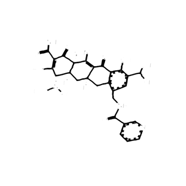 CC(C)c1cc(CNC(=O)c2cccnc2)c2c(c1O)C(=O)C1=C(O)[C@]3(O)C(=O)C(C(N)=O)=C(O)[C@@H](N(C)C)[C@@H]3C[C@@H]1C2